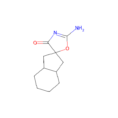 NC1=NC(=O)C2(CC3CCCCC3C2)O1